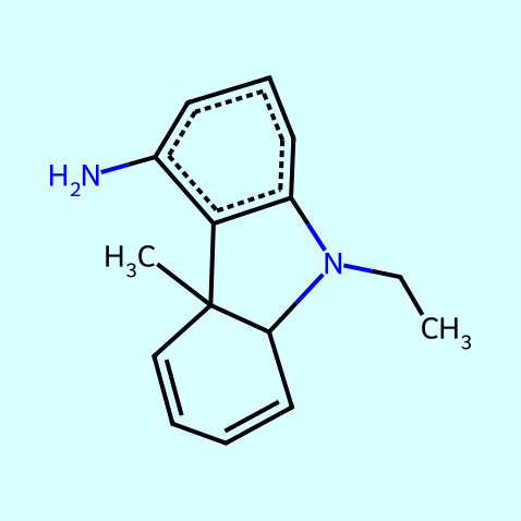 CCN1c2cccc(N)c2C2(C)C=CC=CC12